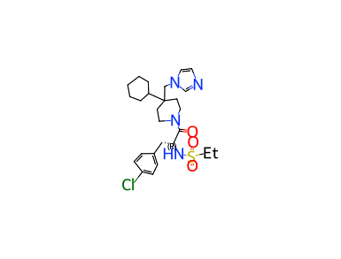 CCS(=O)(=O)N[C@H](Cc1ccc(Cl)cc1)C(=O)N1CCC(Cn2ccnc2)(C2CCCCC2)CC1